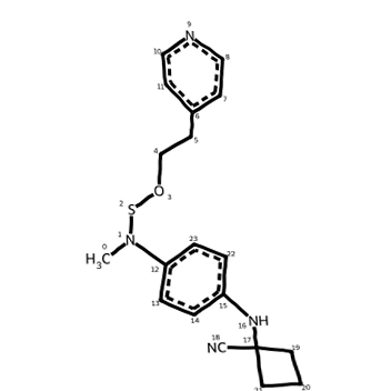 CN(SOCCc1ccncc1)c1ccc(NC2(C#N)CCC2)cc1